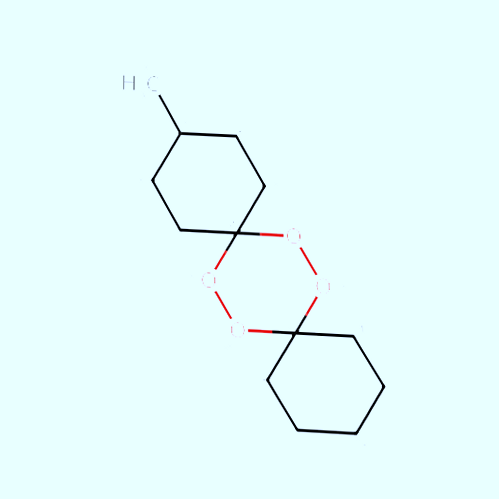 CC1CCC2(CC1)OOC1(CCCCC1)OO2